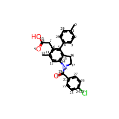 Cc1ccc(-c2c(CC(=O)O)c(C)cc3c2CCN3C(=O)c2ccc(Cl)cc2)cc1